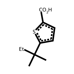 CCC(C)(C)c1ccc(C(=O)O)s1